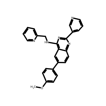 COc1ccc(-c2ccc3nc(-c4cccnc4)nc(NCc4ccccn4)c3c2)cc1